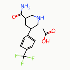 CC(=O)O.NC(=O)C1CNCC(c2ccc(C(F)(F)F)cc2)C1